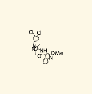 COc1cc(C(=O)Nc2c(C)nn(Cc3ccc(Cl)c(Cl)c3)c2C)c2ccccc2n1